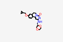 O=c1nc(NC[C@@H]2COCCO2)cc2n1CCc1cc(OCC3CC3)ccc1-2